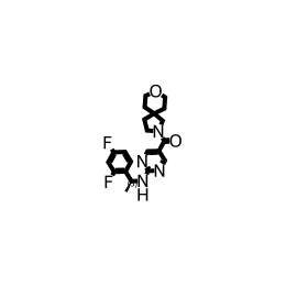 C[C@H](Nc1ncc(C(=O)N2CCC3(CCOCC3)C2)cn1)c1ccc(F)cc1F